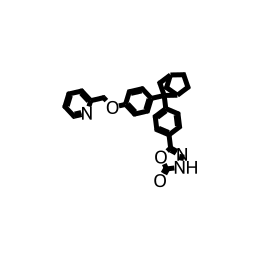 O=c1[nH]nc(-c2ccc(C3(c4ccc(OCc5ccccn5)cc4)CC4CCC3C4)cc2)o1